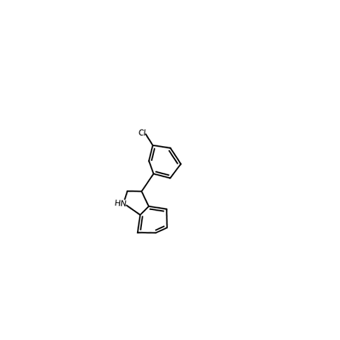 Clc1cccc(C2CNc3ccccc32)c1